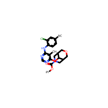 [C-]#[N+]c1ccc(Nc2ncnc(OC3C4COCC3CN(C(=O)OC(C)C)C4)c2C)c(Cl)c1